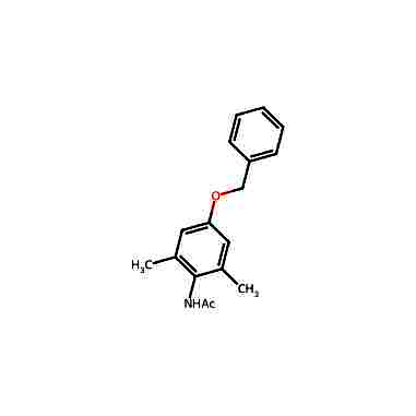 CC(=O)Nc1c(C)cc(OCc2ccccc2)cc1C